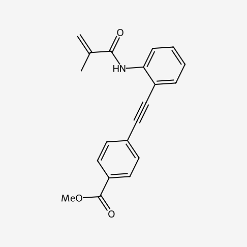 C=C(C)C(=O)Nc1ccccc1C#Cc1ccc(C(=O)OC)cc1